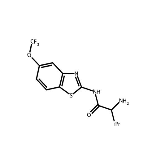 CC(C)C(N)C(=O)Nc1nc2cc(OC(F)(F)F)ccc2s1